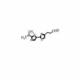 CN(C)c1ncc(-c2nc(CCC=O)cs2)s1